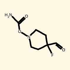 NC(=O)ON1CCC(F)(C=O)CC1